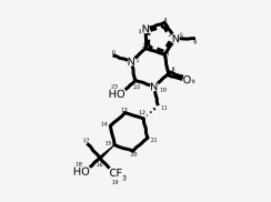 CN1c2ncn(C)c2C(=O)N(C[C@H]2CC[C@H](C(C)(O)C(F)(F)F)CC2)C1O